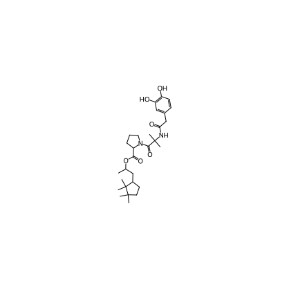 CC(CC1CCC(C)(C)C1(C)C)OC(=O)C1CCCN1C(=O)C(C)(C)NC(=O)Cc1ccc(O)c(O)c1